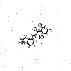 Cc1cc(O)c(C(=O)/C=C/c2cccc3[nH]ccc23)c(=O)o1